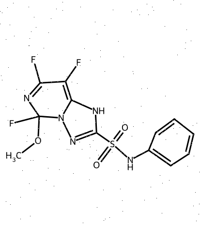 COC1(F)N=C(F)C(F)=C2NC(S(=O)(=O)Nc3ccccc3)=NN21